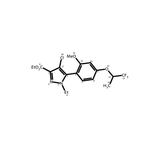 CCOC(=O)c1nn(CC)c(-c2ccc(OC(C)C(F)(F)F)cc2OC)c1Cl